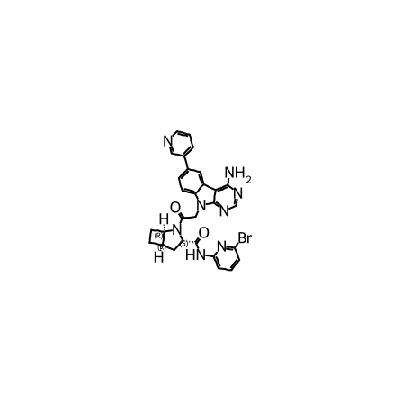 Nc1ncnc2c1c1cc(-c3cccnc3)ccc1n2CC(=O)N1[C@@H]2CC[C@@H]2C[C@H]1C(=O)Nc1cccc(Br)n1